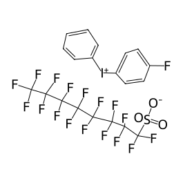 Fc1ccc([I+]c2ccccc2)cc1.O=S(=O)([O-])C(F)(F)C(F)(F)C(F)(F)C(F)(F)C(F)(F)C(F)(F)C(F)(F)C(F)(F)F